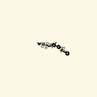 O=C(Cc1nc2cc(F)c(-c3ccc(NC(=O)OCc4ccccn4)cc3)cc2s1)NCC(=O)NC1CC1